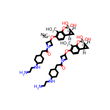 NCCNC1CCC(CC(=O)N2CC(Oc3ccc4c(c3C(=O)O)O[B-](O)(O)[C@H]3C[C@@H]43)C2)CC1.NCCNC1CCC(CC(=O)N2CC(Oc3ccc4c(c3C(=O)O)O[B-](O)(O)[C@H]3C[C@@H]43)C2)CC1.[Na+].[Na+]